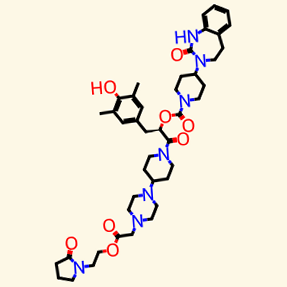 Cc1cc(C[C@@H](OC(=O)N2CCC(N3CCc4ccccc4NC3=O)CC2)C(=O)N2CCC(N3CCN(CC(=O)OCCN4CCCC4=O)CC3)CC2)cc(C)c1O